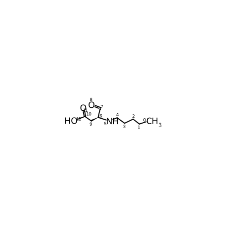 CCCCCN[C@H]([C]=O)CC(=O)O